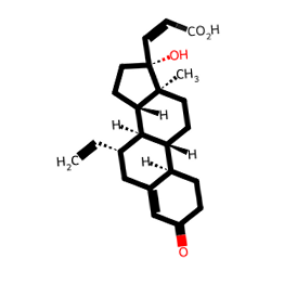 C=C[C@H]1CC2=CC(=O)CC[C@@H]2[C@H]2CC[C@@]3(C)[C@@H](CC[C@@]3(O)/C=C\C(=O)O)[C@@H]21